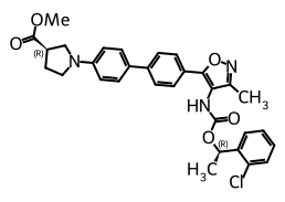 COC(=O)[C@@H]1CCN(c2ccc(-c3ccc(-c4onc(C)c4NC(=O)O[C@H](C)c4ccccc4Cl)cc3)cc2)C1